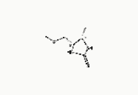 COC[C@H]1NC(=S)N[C@H]1C